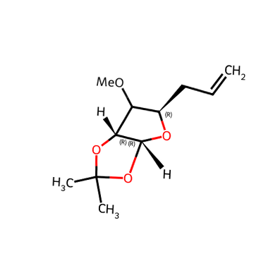 C=CC[C@H]1O[C@@H]2OC(C)(C)O[C@@H]2C1OC